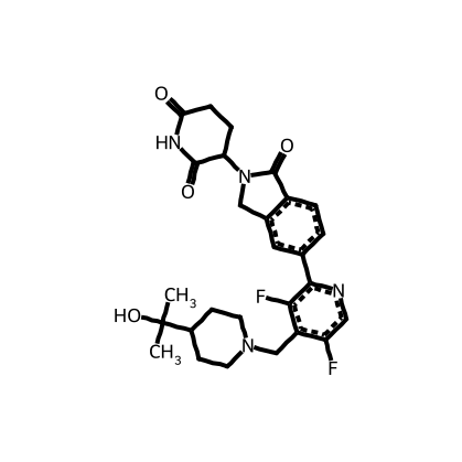 CC(C)(O)C1CCN(Cc2c(F)cnc(-c3ccc4c(c3)CN(C3CCC(=O)NC3=O)C4=O)c2F)CC1